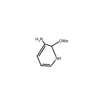 CO[C]1NC=CC=C1N